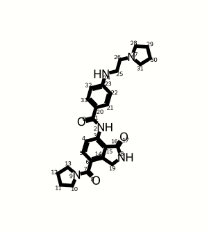 O=C(Nc1ccc(C(=O)N2CCCC2)c2c1C(=O)NC2)c1ccc(NCCN2CCCC2)cc1